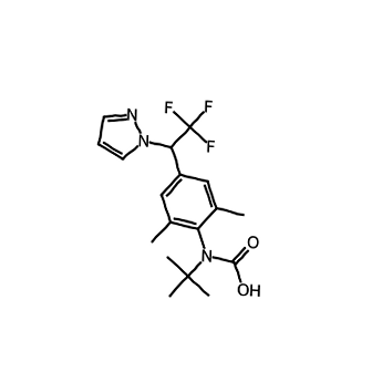 Cc1cc(C(n2cccn2)C(F)(F)F)cc(C)c1N(C(=O)O)C(C)(C)C